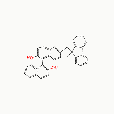 CC1(Cc2ccc3c(-c4c(O)ccc5ccccc45)c(O)ccc3c2)c2ccccc2-c2ccccc21